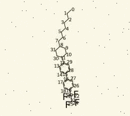 CCCCCCCCC1CCC(c2ccc(-c3ccc(C(F)(F)C(F)F)cc3)cc2)CC1